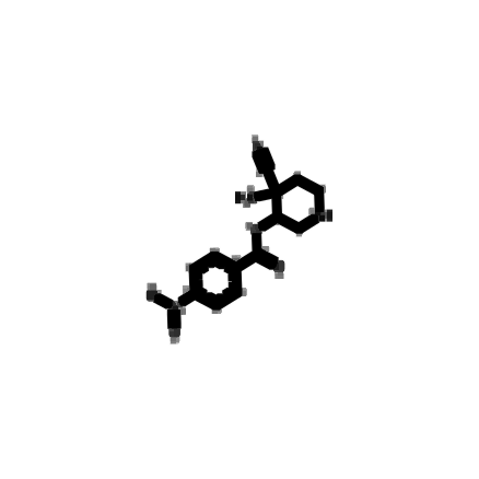 CC1(C#N)CCNCC1OC(=O)c1ccc([N+](=O)[O-])cc1